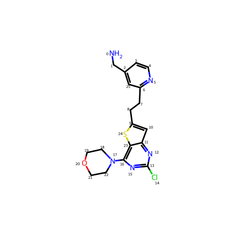 NCc1ccnc(CCc2cc3nc(Cl)nc(N4CCOCC4)c3s2)c1